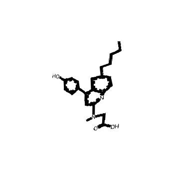 CCCCCc1ccc2nc(N(C)CC(=O)O)cc(-c3ccc(O)cc3)c2c1